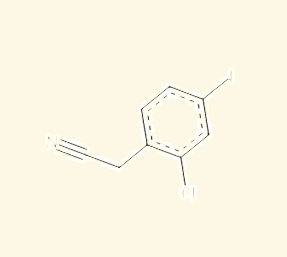 N#CCc1ccc(I)cc1Cl